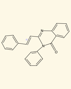 O=c1c2ccccc2nc(/C=C/c2ccccc2)n1-c1ccccc1